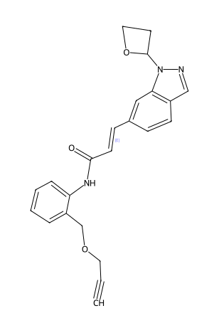 C#CCOCc1ccccc1NC(=O)/C=C/c1ccc2cnn(C3CCO3)c2c1